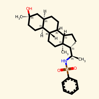 C[C@@H](NS(=O)(=O)c1ccccc1)[C@H]1CC[C@H]2[C@@H]3CC[C@@H]4C[C@](C)(O)CC[C@@H]4[C@H]3CC[C@]12C